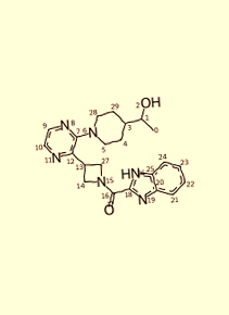 CC(O)C1CCN(c2nccnc2C2CN(C(=O)c3nc4ccccc4[nH]3)C2)CC1